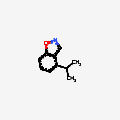 CC(C)c1cccc2oncc12